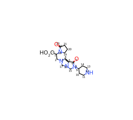 O=C(O)C(CN1C=C2C(=O)N(C3CCNCC3)CN2C1)N1CCCC1=O